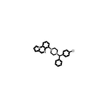 Clc1ccc(C(c2ccccc2)N2CCN(c3cccc4c3ncc3cccn34)CC2)cc1